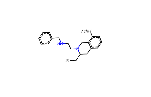 CC(=O)Nc1cccc2c1CN(CCNCc1ccccc1)C(CC(C)C)C2